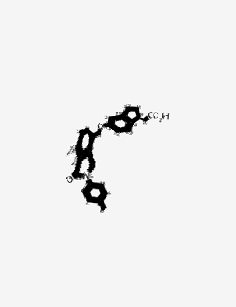 Cc1ccc(N2Cc3c(COc4ccc5c(c4)CC[C@H]5CC(=O)O)cccc3C2=O)cc1